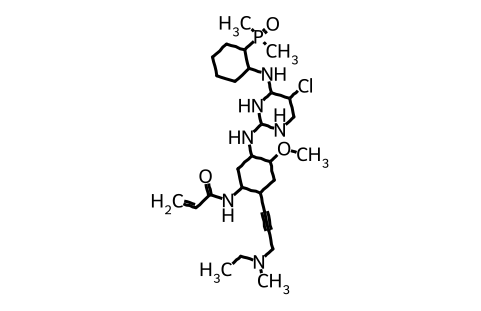 C=CC(=O)NC1CC(NC2NCC(Cl)C(NC3CCCCC3P(C)(C)=O)N2)C(OC)CC1C#CCN(C)CC